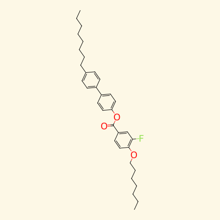 CCCCCCCCc1ccc(-c2ccc(OC(=O)c3ccc(OCCCCCCC)c(F)c3)cc2)cc1